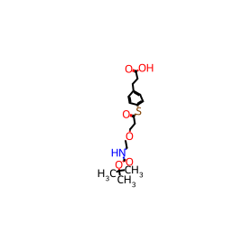 CC(C)(C)OC(=O)NCCOCCC(=O)Sc1ccc(CCC(=O)O)cc1